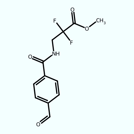 COC(=O)C(F)(F)CNC(=O)c1ccc(C=O)cc1